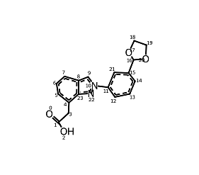 O=C(O)Cc1cccc2cn(-c3cccc(C4OCCO4)c3)nc12